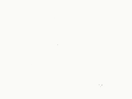 C=C(C)C(=O)OC1(C)CCC(OCCOC)CC1C(=O)CS